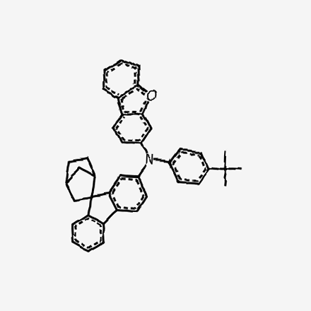 CC(C)(C)c1ccc(N(c2ccc3c(c2)C2(CC4CCC2C4)c2ccccc2-3)c2ccc3c(c2)oc2ccccc23)cc1